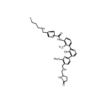 COc1nc(-c2ccnc(-c3cccc(NC(=O)c4ccc(CNCCCF)cn4)c3C)c2Cl)ccc1CNCC1CCC(=O)N1